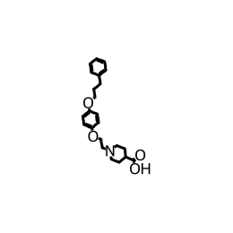 O=C(O)C1CCN(CCOc2ccc(OCCCc3ccccc3)cc2)CC1